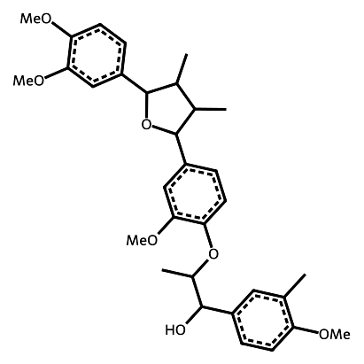 COc1ccc(C(O)C(C)Oc2ccc(C3OC(c4ccc(OC)c(OC)c4)C(C)C3C)cc2OC)cc1C